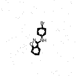 Brc1ccc(Nc2noc3ccccc23)cc1